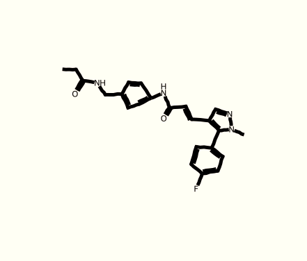 CCC(=O)NCc1ccc(NC(=O)/C=C/c2cnn(C)c2-c2ccc(F)cc2)cc1